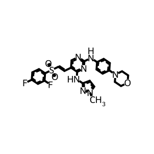 Cn1ccc(Nc2nc(Nc3ccc(N4CCOCC4)cc3)ncc2C=CS(=O)(=O)c2ccc(F)cc2F)n1